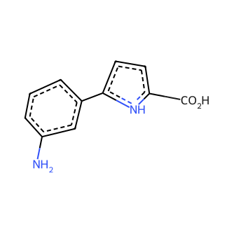 Nc1cccc(-c2ccc(C(=O)O)[nH]2)c1